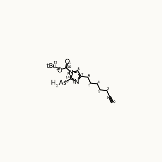 C#CCCCCCc1cn(C(=O)OC(C)(C)C)c([AsH2])n1